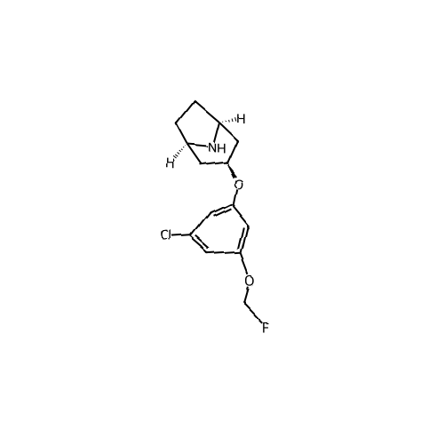 FCOc1cc(Cl)cc(O[C@H]2C[C@H]3CC[C@@H](C2)N3)c1